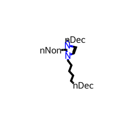 CCCCCCCCCCCCCCCN1C=CN(CCCCCCCCCC)C1CCCCCCCCC